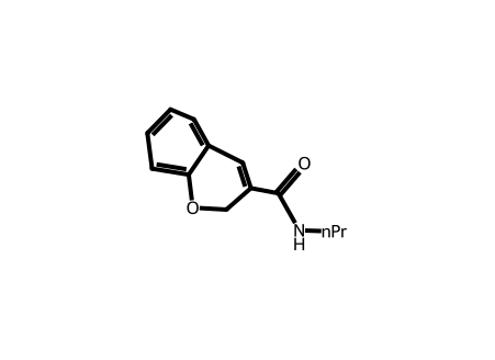 CCCNC(=O)C1=Cc2ccccc2OC1